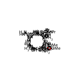 CC[C@H](C)[C@@H]1NC(=O)[C@@H](CCCNC(=N)N)NC(=O)[C@H](CC(C)C)NC(=O)[C@H]([C@H](O)C(C)C)NC(=O)[C@@H](NC(=O)[C@H](CC(C)C)NC(=O)[C@H](N)CC(C)C)[C@@H](c2ccccc2)OC(=O)[C@H](COC(=O)c2cccc(OC)c2)NC(=O)[C@H]([C@H](OC(=O)c2cccc(OC)c2)C(N)=O)NC(=O)CNC(=O)[C@H]([C@H](C)O)NC1=O